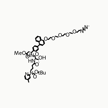 COC(=O)C[C@H](NC(=O)[C@@H](NC(=O)CCCN(C(=O)OC(C)(C)C)c1cc(C)ccn1)[C@@H](C)O)c1ccc(-c2ccc(OCCOCCOCCOCCOCCN=[N+]=[N-])c3ccccc23)cc1